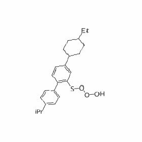 CCC1CCC(c2ccc(-c3ccc(C(C)C)cc3)c(SOOO)c2)CC1